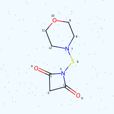 O=C1CC(=O)N1SN1CCOCC1